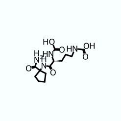 NC(=O)C1(NC(=O)[C@H](CCCNC(=O)O)NC(=O)O)CCCC1